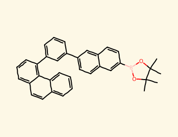 CC1(C)OB(c2ccc3cc(-c4cccc(-c5cccc6ccc7ccccc7c56)c4)ccc3c2)OC1(C)C